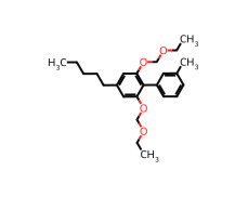 CCCCCc1cc(OCOCC)c(-c2cccc(C)c2)c(OCOCC)c1